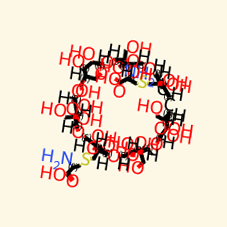 N[C@H](CSCC1C[C@@H]2C[C@@H]3C(CO)O[C@H](O[C@@H]4C(CO)O[C@H](O[C@@H]5C(CSC[C@@H](N)C(=O)O)O[C@H](O[C@@H]6C(CO)O[C@H](O[C@]7(CO)CO[C@H](O[C@@H]8C(CO)O[C@H](O[C@H]1[C@H](O)C2O)C(O)[C@H]8O)C(O)[C@H]7O)C(O)[C@H]6O)C(O)[C@H]5O)C(O)[C@H]4O)C(O)[C@H]3O)C(=O)O